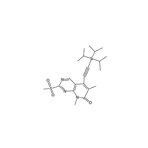 Cc1c(C#C[Si](C(C)C)(C(C)C)C(C)C)c2cnc(S(C)(=O)=O)nc2n(C)c1=O